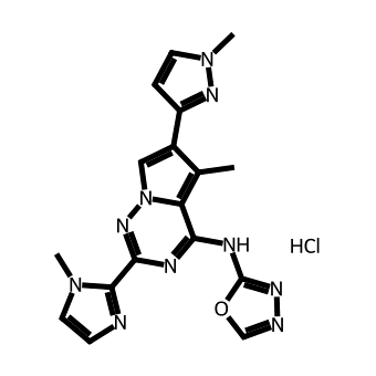 Cc1c(-c2ccn(C)n2)cn2nc(-c3nccn3C)nc(Nc3nnco3)c12.Cl